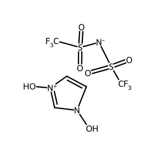 O=S(=O)([N-]S(=O)(=O)C(F)(F)F)C(F)(F)F.On1cc[n+](O)c1